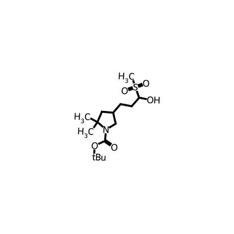 CC(C)(C)OC(=O)N1CC(CCC(O)S(C)(=O)=O)CC1(C)C